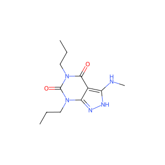 CCCn1c(=O)c2c(NC)[nH]nc2n(CCC)c1=O